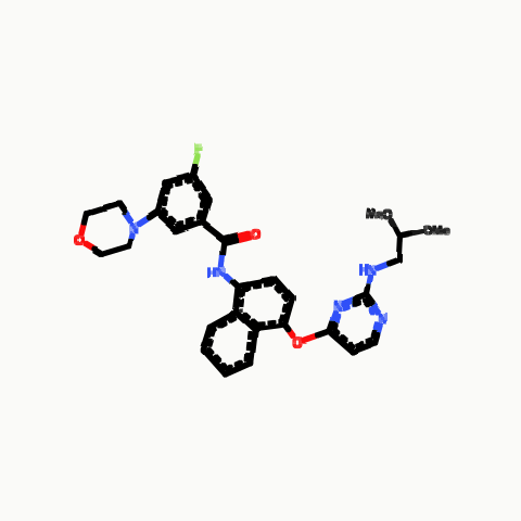 COC(CNc1nccc(Oc2ccc(NC(=O)c3cc(F)cc(N4CCOCC4)c3)c3ccccc23)n1)OC